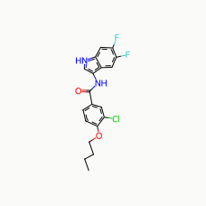 CCCCOc1ccc(C(=O)Nc2c[nH]c3cc(F)c(F)cc23)cc1Cl